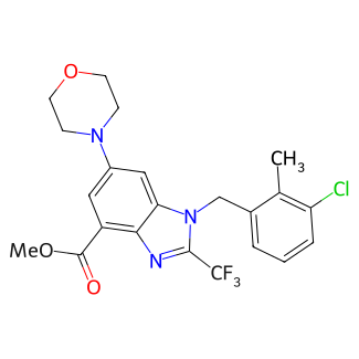 COC(=O)c1cc(N2CCOCC2)cc2c1nc(C(F)(F)F)n2Cc1cccc(Cl)c1C